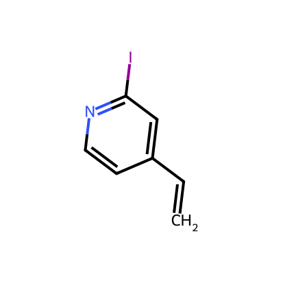 C=Cc1ccnc(I)c1